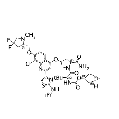 CC(C)Nc1nc(-c2cc(OC3C[C@@H](C(N)=O)N(C(=O)[C@@H](NC(=O)O[C@H]4CC5=C[C@H]5C4)C(C)(C)C)C3)c3ccc(OC[C@@H]4CC(F)(F)CN4C)c(Cl)c3n2)cs1